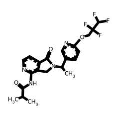 CC(C)C(=O)Nc1nccc2c1CN(C(C)c1ccc(OCC(F)(F)C(F)F)nc1)C2=O